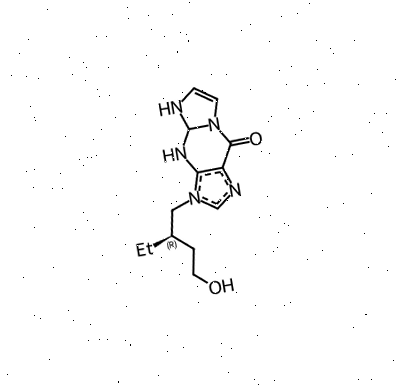 CC[C@H](CCO)Cn1cnc2c1NC1NC=CN1C2=O